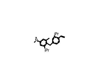 C=Cc1ccc(Cc2c(C)cc(N(C)C)cc2C(C)C)cc1C(C)C